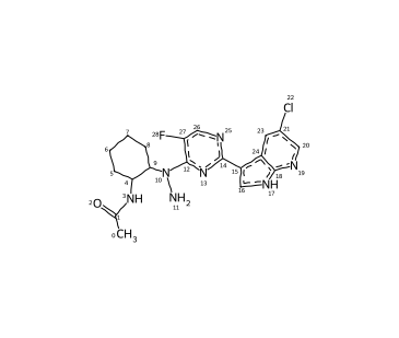 CC(=O)NC1CCCCC1N(N)c1nc(-c2c[nH]c3ncc(Cl)cc23)ncc1F